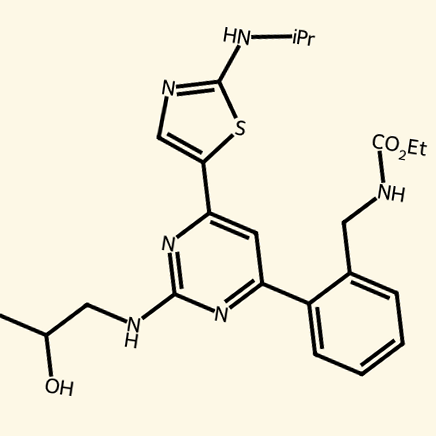 CCOC(=O)NCc1ccccc1-c1cc(-c2cnc(NC(C)C)s2)nc(NCC(C)O)n1